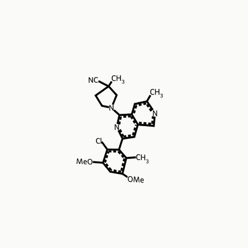 COc1cc(OC)c(Cl)c(-c2cc3cnc(C)cc3c(N3CCC(C)(C#N)C3)n2)c1C